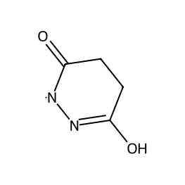 O=C1CCC(O)=N[N]1